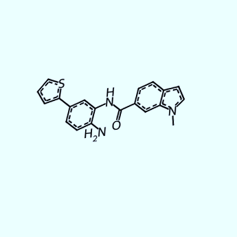 Cn1ccc2ccc(C(=O)Nc3cc(-c4cccs4)ccc3N)cc21